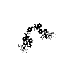 C=C(N[C@H](C(=O)N1CCC[C@H]1c1cncc(-n2cc(C(=O)NCc3ccc(CNC(=O)c4cn(-c5cncc([C@@H]6CCCN6C(=O)[C@@H](NC(=O)[C@H](C)NC)C(C)C)c5)c5ccccc45)cc3)c3ccccc32)c1)C(C)C)[C@H](C)NC